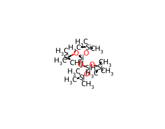 C[Si](C)(C)O[SiH](O[SiH](O[Si](C)(C)C)O[Si](C)(C)C)O[Si](C)(C)C